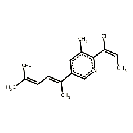 C/C=C(/Cl)c1ncc(/C(C)=C/C=C(C)C)cc1C